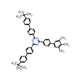 Cc1cc(-c2ccc(-c3nc(-c4ccc(-c5ccc(C(C)(C)C)cc5)cc4)nc(-c4ccc(-c5ccc(C(C)(C)C)cc5)cc4)n3)cc2)cc(C)c1C